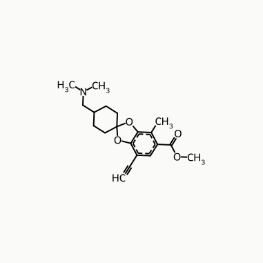 C#Cc1cc(C(=O)OC)c(C)c2c1OC1(CCC(CN(C)C)CC1)O2